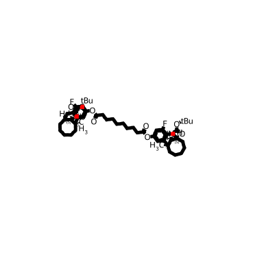 CC(C)(C)OC(=O)N[C@H]1[C@H]2CCCCC[C@]1(C)c1cc(OC(=O)CCCCCCCCC(=O)Oc3cc(F)c4c(c3)[C@@]3(C)CCCCC[C@@H](C4)[C@@H]3NC(=O)OC(C)(C)C)cc(F)c1C2